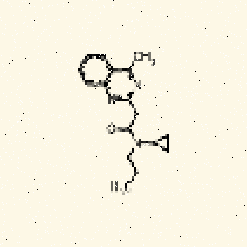 CCCN(C(=O)Cc1nc(C)c2ccccc2n1)C1CC1